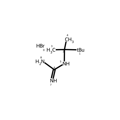 Br.CC(C)(C)C(C)(C)NC(=N)N